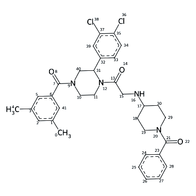 Cc1cc(C)cc(C(=O)N2CCN(C(=O)CNC3CCN(C(=O)c4ccccc4)CC3)C(c3ccc(Cl)c(Cl)c3)C2)c1